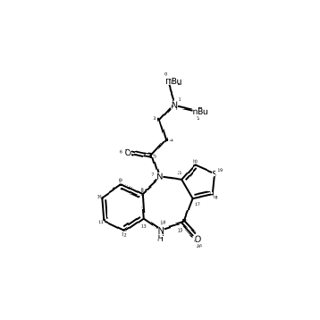 CCCCN(CCCC)CCC(=O)N1c2ccccc2NC(=O)c2cscc21